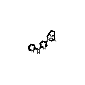 CN1C2CCC1CN(c1ccc(Nc3ccccn3)nc1)CC2